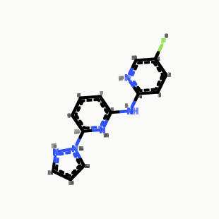 Fc1ccc(Nc2cccc(-n3cccn3)n2)nc1